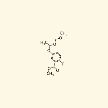 COCOC(C)Oc1ccc(F)c(C(=O)OC)c1